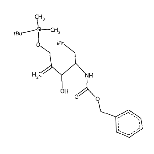 C=C(CO[Si](C)(C)C(C)(C)C)C(O)C(CC(C)C)NC(=O)OCc1ccccc1